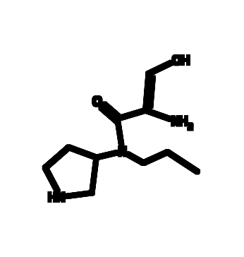 CCCN(C(=O)/C(N)=C/O)C1CCNC1